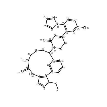 CCn1ncc2c1-c1ccnc(c1)C(N1CCC(c3cc(Cl)ccc3-n3ccnn3)=CC1=O)CCC[C@@H](C)C(=O)N2